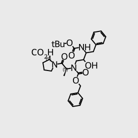 C[C@@H](C(=O)N1CCC[C@H]1C(=O)O)N(CC(O)C(Cc1ccccc1)NC(=O)OC(C)(C)C)C(=O)OCc1ccccc1